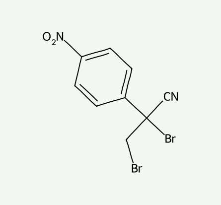 N#CC(Br)(CBr)c1ccc([N+](=O)[O-])cc1